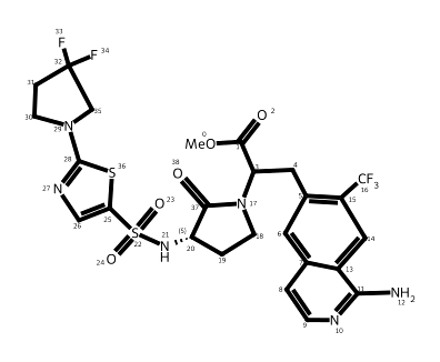 COC(=O)C(Cc1cc2ccnc(N)c2cc1C(F)(F)F)N1CC[C@H](NS(=O)(=O)c2cnc(N3CCC(F)(F)C3)s2)C1=O